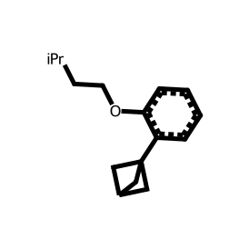 CC(C)CCOc1ccccc1C12CC(C1)C2